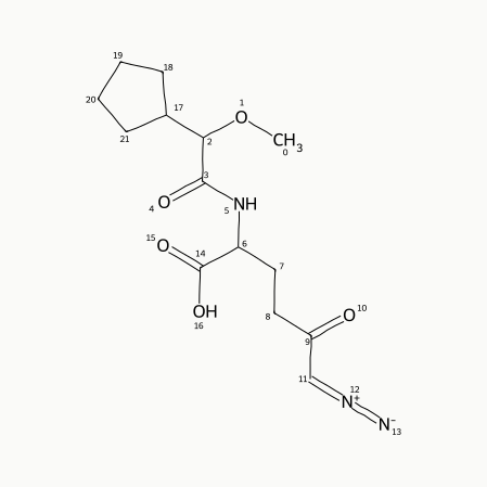 COC(C(=O)NC(CCC(=O)C=[N+]=[N-])C(=O)O)C1CCCC1